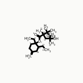 C=C1CCC(CC)(OC(=O)C(C)(CC(C)(C)O)C(C)(C)C)C(CC)C1